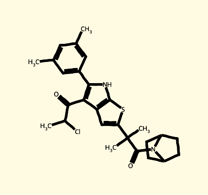 Cc1cc(C)cc(-c2[nH]c3sc(C(C)(C)C(=O)N4C5CCC4CC5)cc3c2C(=O)C(C)Cl)c1